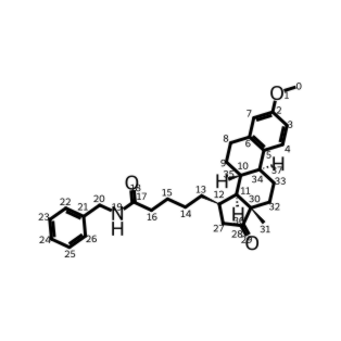 COc1ccc2c(c1)CC[C@H]1[C@@H]3[C@H](CCCCC(=O)NCc4ccccc4)CC(=O)[C@@]3(C)CC[C@H]21